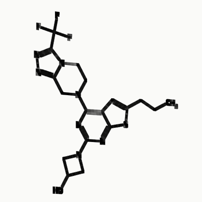 CCCc1cc2c(N3CCn4c(nnc4C(F)(F)F)C3)nc(N3CC(O)C3)nc2s1